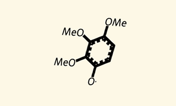 COc1ccc([O])c(OC)c1OC